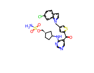 NS(=O)(=O)OC[C@@H]1CCC(Nc2ncncc2C(=O)c2cc(Cn3ccc4ccc(Cl)cc43)cs2)C1